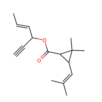 C#CC(C=CC)OC(=O)C1C(C=C(C)C)C1(C)C